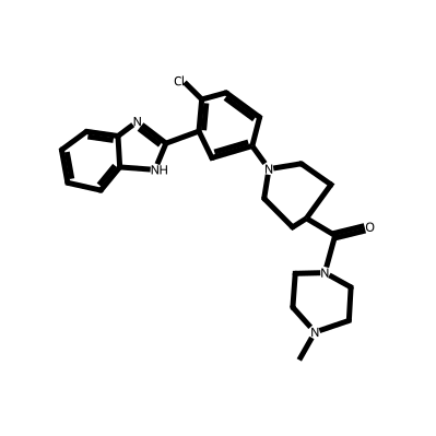 CN1CCN(C(=O)C2CCN(c3ccc(Cl)c(-c4nc5ccccc5[nH]4)c3)CC2)CC1